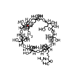 C[C@H](CSCC1O[C@@H]2O[C@@H]3C(CO)O[C@@H](O[C@@H]4C(CO)O[C@@H](O[C@@H]5C(CSC[C@@H](N)C(=O)O)O[C@@H](O[C@@H]6C(CO)O[C@H](O[C@@H]7C(CO)O[C@H](O[C@@H]8C(CO)O[C@H](O[C@H]1[C@@H](O)C2O)C(O)[C@H]8O)[C@@H](O)C7O)[C@@H](O)C6O)[C@@H](O)C5O)[C@@H](O)C4O)C(O)[C@H]3O)C(=O)O